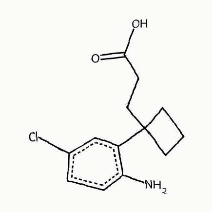 Nc1ccc(Cl)cc1C1(CCC(=O)O)CCC1